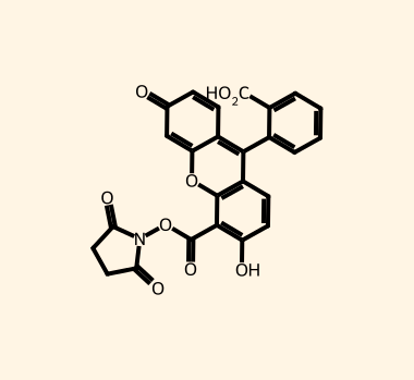 O=C(O)c1ccccc1-c1c2ccc(=O)cc-2oc2c(C(=O)ON3C(=O)CCC3=O)c(O)ccc12